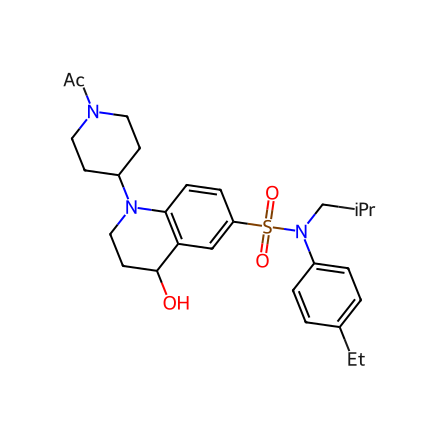 CCc1ccc(N(CC(C)C)S(=O)(=O)c2ccc3c(c2)C(O)CCN3C2CCN(C(C)=O)CC2)cc1